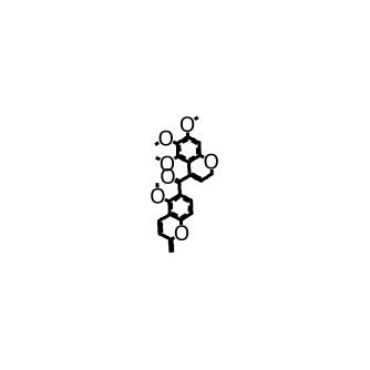 C=C1C=Cc2c(ccc(C(=O)C3=CCOc4cc(OC)c(OC)c(OC)c43)c2OC)O1